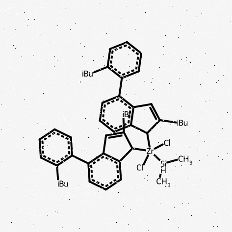 CCC(C)C1=Cc2c(-c3ccccc3C(C)CC)cccc2[CH]1[Zr]([Cl])([Cl])([CH]1C(C(C)CC)=Cc2c(-c3ccccc3C(C)CC)cccc21)[SiH](C)C